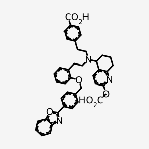 O=C(O)Oc1ccc2c(n1)CCCC2N(CCc1ccc(C(=O)O)cc1)CCc1ccccc1OCc1ccc(-c2nc3ccccc3o2)cc1